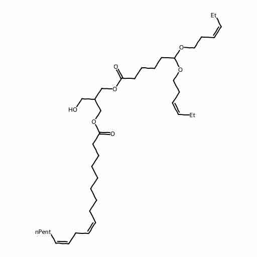 CC/C=C\CCOC(CCCCC(=O)OCC(CO)COC(=O)CCCCCCC/C=C\C/C=C\CCCCC)OCC/C=C\CC